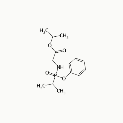 CC(C)OC(=O)CNP(=O)(Oc1ccccc1)C(C)C